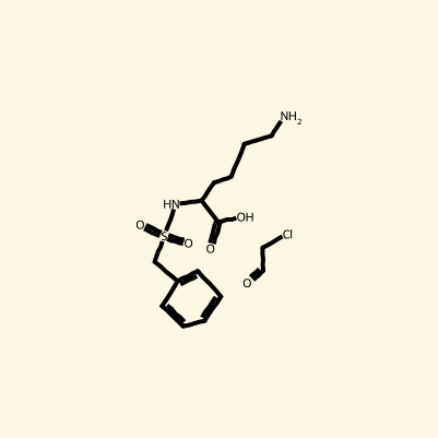 NCCCCC(NS(=O)(=O)Cc1ccccc1)C(=O)O.O=CCCl